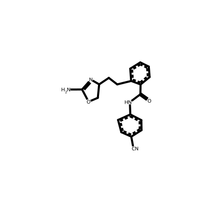 N#Cc1ccc(NC(=O)c2ccccc2CCC2COC(N)=N2)cc1